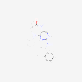 CC(Nc1ncc2c(n1)N(C1CCCC1)CC(C)(C)C(=O)N2C)c1ccccc1F